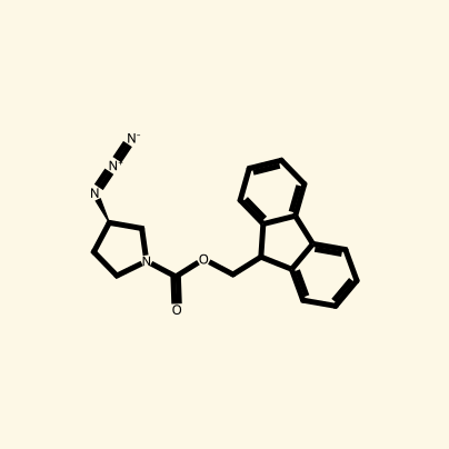 [N-]=[N+]=N[C@@H]1CCN(C(=O)OCC2c3ccccc3-c3ccccc32)C1